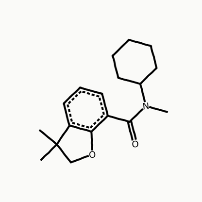 CN(C(=O)c1cccc2c1OCC2(C)C)C1CCCCC1